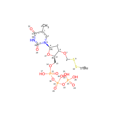 Cc1cn([C@H]2CC(OCSSC(C)(C)C)[C@@H](COP(=O)(O)OP(=O)(O)OP(=O)(O)O)O2)c(=O)[nH]c1=O